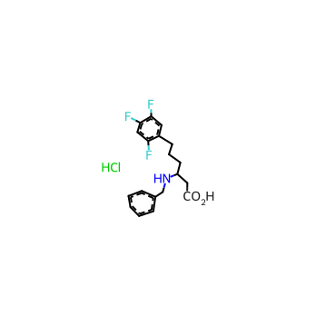 Cl.O=C(O)CC(CCCc1cc(F)c(F)cc1F)NCc1ccccc1